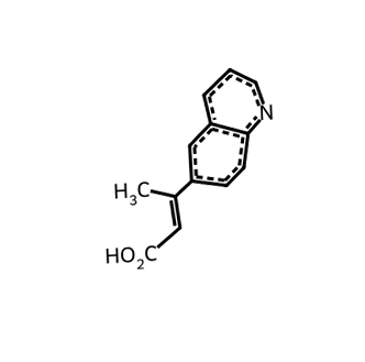 CC(=CC(=O)O)c1ccc2ncccc2c1